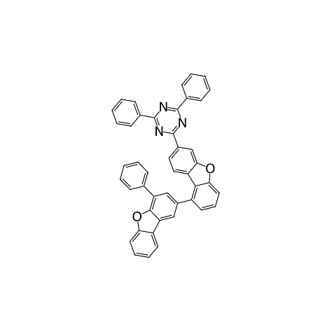 c1ccc(-c2nc(-c3ccccc3)nc(-c3ccc4c(c3)oc3cccc(-c5cc(-c6ccccc6)c6oc7ccccc7c6c5)c34)n2)cc1